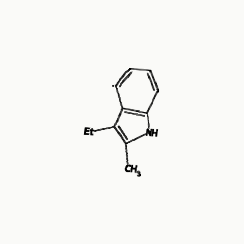 CCc1c(C)[nH]c2ccc[c]c12